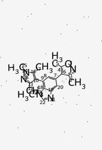 Cc1noc(C)c1-c1cc(-c2c(C)nn(C)c2C)c2c(c1)ncn2C